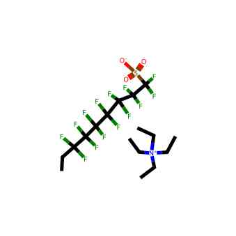 CCC(F)(F)C(F)(F)C(F)(F)C(F)(F)C(F)(F)C(F)(F)C(F)(F)S(=O)(=O)[O-].CC[N+](CC)(CC)CC